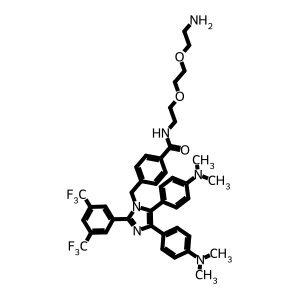 CN(C)c1ccc(-c2nc(-c3cc(C(F)(F)F)cc(C(F)(F)F)c3)n(Cc3ccc(C(=O)NCCOCCOCCN)cc3)c2-c2ccc(N(C)C)cc2)cc1